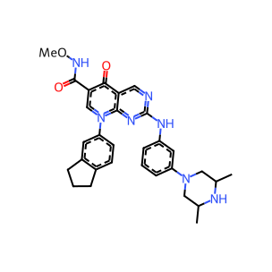 CONC(=O)c1cn(-c2ccc3c(c2)CCC3)c2nc(Nc3cccc(N4CC(C)NC(C)C4)c3)ncc2c1=O